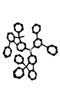 CC1(c2ccccc2)c2cc(N(c3cc(-c4ccccc4)cc(-c4ccccc4)c3)c3ccc4c(c3)C(c3ccccc3)(c3ccccc3)c3ccccc3-4)ccc2-c2c(-c3ccccc3)cccc21